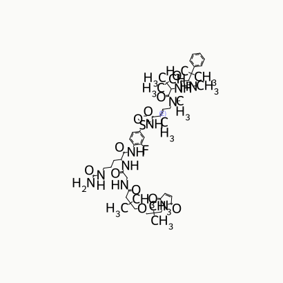 CNC(C(=O)NC(C(=O)N(C)C/C=C(\C)C(=O)N[S+]([O-])c1ccc(NC(=O)C(CCCNC(N)=O)NC(=O)CNC(=O)CC(C)(C)COCC(C)(C)CN2C(=O)C=CC2=O)c(F)c1)C(C)(C)C)C(C)(C)c1ccccc1